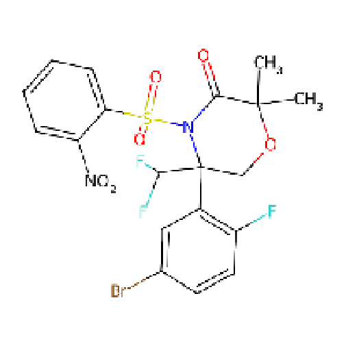 CC1(C)OCC(c2cc(Br)ccc2F)(C(F)F)N(S(=O)(=O)c2ccccc2[N+](=O)[O-])C1=O